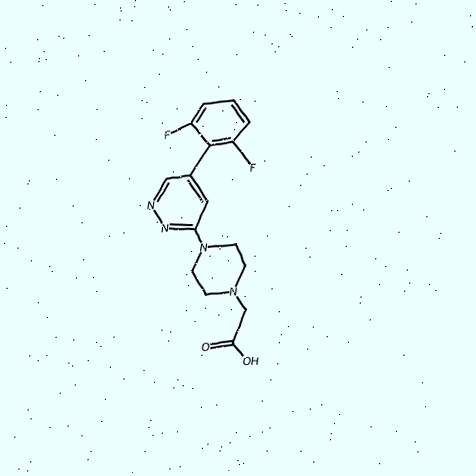 O=C(O)CN1CCN(c2cc(-c3c(F)cccc3F)cnn2)CC1